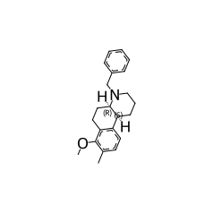 COc1c(C)ccc2c1CC[C@@H]1[C@H]2CCCN1Cc1ccccc1